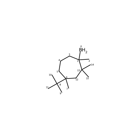 BC1(C)CCCC(C)(C(C)(C)C)CC1(C)C